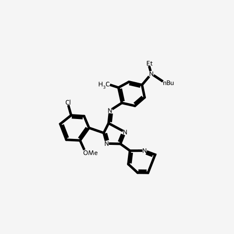 CCCCN(CC)c1ccc(/N=C2\N=C(c3ccccn3)N=C2c2cc(Cl)ccc2OC)c(C)c1